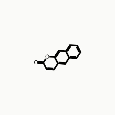 O=c1ccc2cc3ccccc3cc2o1